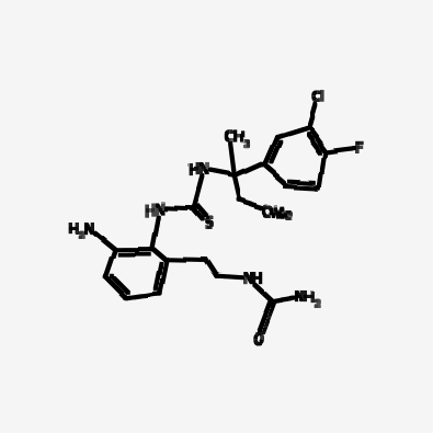 COCC(C)(NC(=S)Nc1c(N)cccc1CCNC(N)=O)c1ccc(F)c(Cl)c1